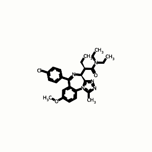 CC[C@@H](C(=O)N(CC)CC)[C@@H]1N=C(c2ccc(Cl)cc2)c2cc(OC)ccc2-n2c(C)nnc21